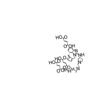 NCCN1CCC(Nc2nc3ccccc3n2Cc2cccs2)C1.O=C(O)C=CC(=O)O.O=C(O)C=CC(=O)O.O=C(O)C=CC(=O)O